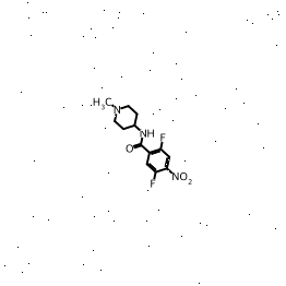 CN1CCC(NC(=O)c2cc(F)c([N+](=O)[O-])cc2F)CC1